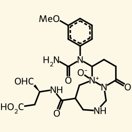 COc1cccc(N(C(N)=O)C2CCC(=O)N3CNCC(C(=O)N[C@H](C=O)CC(=O)O)C[N+]23[O-])c1